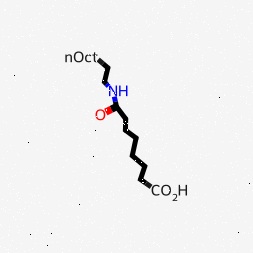 CCCCCCCCCCNC(=O)CCCCCCC(=O)O